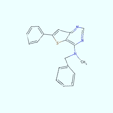 CN(Cc1ccccc1)c1ncnc2cc(-c3ccccc3)sc12